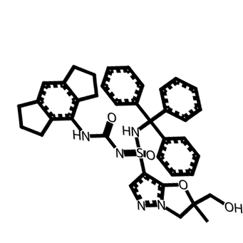 CC1(CO)Cn2ncc(S(=O)(=NC(=O)Nc3c4c(cc5c3CCC5)CCC4)NC(c3ccccc3)(c3ccccc3)c3ccccc3)c2O1